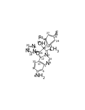 CC(n1cnc2cc(N)ccc2c1=O)C(O)(Cn1cncn1)c1ccc(F)cc1F